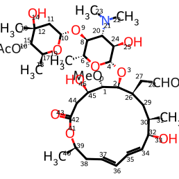 CO[C@@H]1[C@@H](O[C@@H]2O[C@H](C)[C@@H](O[C@H]3C[C@@](C)(O)[C@@H](OC(C)=O)[C@H](C)O3)[C@H](N(C)C)[C@H]2O)[C@@H](CC=O)C[C@@H](C)[C@@H](O)/C=C/C=C/C[C@@H](C)OC(=O)C[C@H]1O